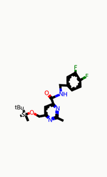 Cc1nc(CO[Si](C)(C)C(C)(C)C)cc(C(=O)NCc2ccc(F)c(F)c2)n1